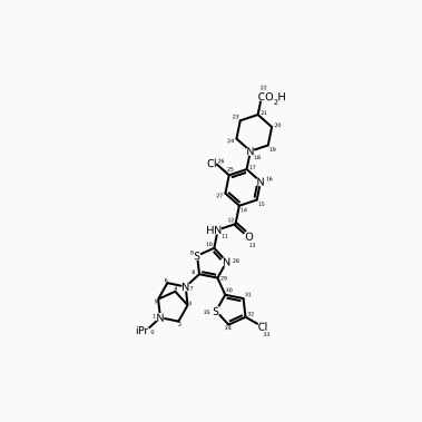 CC(C)N1CC2CC1CN2c1sc(NC(=O)c2cnc(N3CCC(C(=O)O)CC3)c(Cl)c2)nc1-c1cc(Cl)cs1